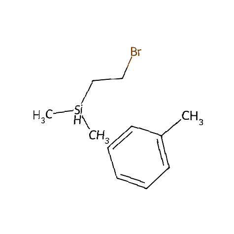 C[SiH](C)CCBr.Cc1ccccc1